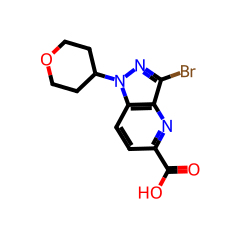 O=C(O)c1ccc2c(n1)c(Br)nn2C1CCOCC1